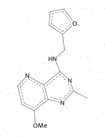 COc1ccnc2c(NCc3ccco3)nc(C)nc12